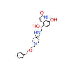 CC1(CNC[C@H](O)c2ccc(O)c3[nH]c(=O)ccc23)CCN(CCOCCc2ccccc2)CC1